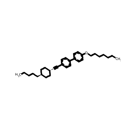 CCCCCCCOc1ccc(-c2ccc(C#C[C@H]3CC[C@H](CCCCC)CC3)cc2)cc1